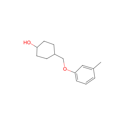 Cc1cccc(OCC2CCC(O)CC2)c1